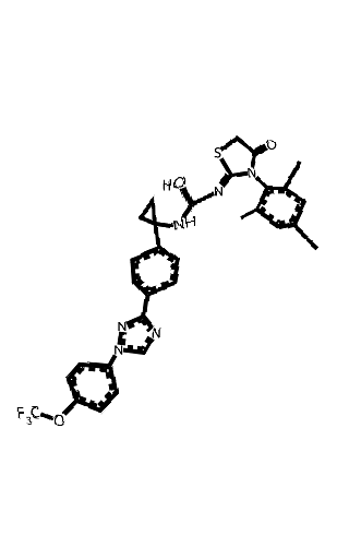 Cc1cc(C)c(N2C(=O)CS/C2=N\C(O)NC2(c3ccc(-c4ncn(-c5ccc(OC(F)(F)F)cc5)n4)cc3)CC2)c(C)c1